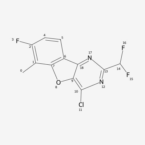 Cc1c(F)ccc2c1oc1c(Cl)nc(C(F)F)nc12